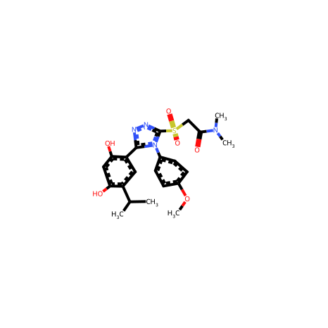 COc1ccc(-n2c(-c3cc(C(C)C)c(O)cc3O)nnc2S(=O)(=O)CC(=O)N(C)C)cc1